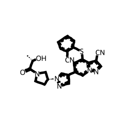 C[C@H](O)C(=O)N1CC[C@@H](n2cc(-c3cc(Sc4ccccc4C#N)c4c(C#N)cnn4c3)cn2)C1